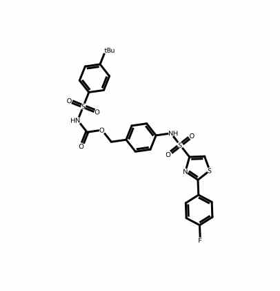 CC(C)(C)c1ccc(S(=O)(=O)NC(=O)OCc2ccc(NS(=O)(=O)c3csc(-c4ccc(F)cc4)n3)cc2)cc1